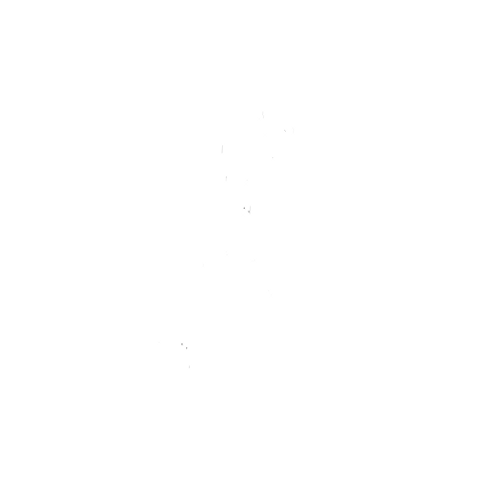 CC(C)(C)OC(=O)N1CCC2(COc3cc([N+](=O)[O-])ccc32)C(=O)C1